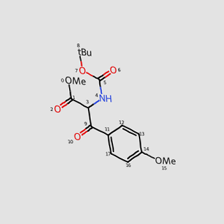 COC(=O)C(NC(=O)OC(C)(C)C)C(=O)c1ccc(OC)cc1